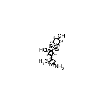 Cc1nc(N)sc1-c1csc(S(=O)(=O)N2CCC(O)CC2)c1.Cl